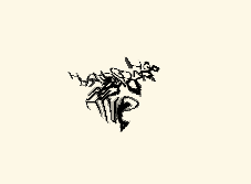 CNC(=O)c1nnc(NC(=O)C2CC2)cc1Nc1cccc(-c2ncc(C3(O)CCC3)cn2)c1OC